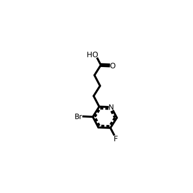 O=C(O)CCCc1ncc(F)cc1Br